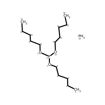 CCCCCOP(OCCCCC)OCCCCC.P